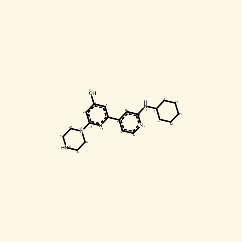 Oc1cc(-c2ccnc(NC3CCCCC3)c2)nc(N2CCNCC2)c1